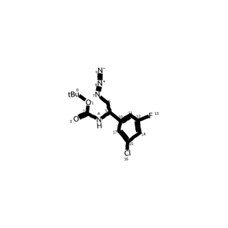 CC(C)(C)OC(=O)NC(CN=[N+]=[N-])c1cc(F)cc(Cl)c1